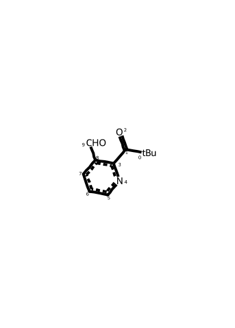 CC(C)(C)C(=O)c1ncccc1C=O